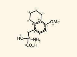 COc1ccc(CC(N)(O)C(=O)O)c2c1CCCC2